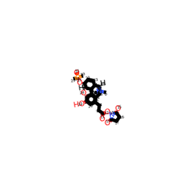 CN1CC[C@]23c4c5c(CCC(=O)ON6C(=O)CCC6=O)cc(O)c4O[C@H]2[C@@H](OP(C)(C)=O)C=CC3[C@H]1C5